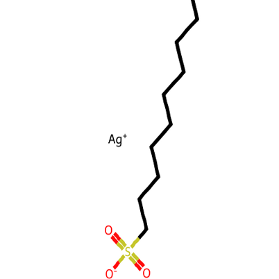 CCCCCCCCCCS(=O)(=O)[O-].[Ag+]